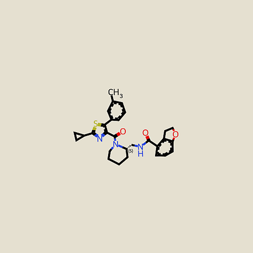 Cc1cccc(-c2sc(C3CC3)nc2C(=O)N2CCCC[C@H]2CNC(=O)c2cccc3c2CCO3)c1